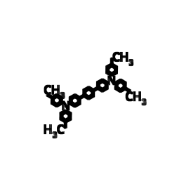 CCc1ccc(N(c2ccc(CC)cc2)c2ccc(-c3ccc(-c4ccc(N(c5ccc(CC)cc5)c5ccc(CC)cc5)cc4)cc3)cc2)cc1